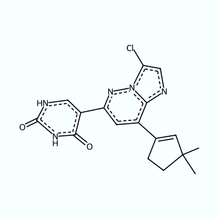 CC1(C)C=C(c2cc(-c3c[nH]c(=O)[nH]c3=O)nn3c(Cl)cnc23)CC1